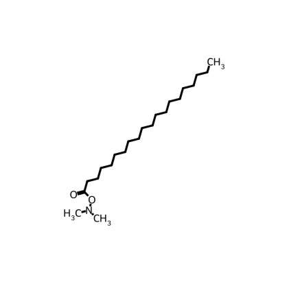 CCCCCCCCCCCCCCCCCCCC(=O)ON(C)C